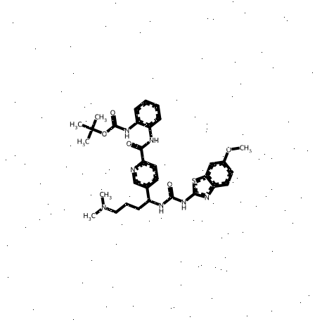 COc1ccc2nc(NC(=O)NC(CCCN(C)C)c3ccc(C(=O)Nc4ccccc4NC(=O)OC(C)(C)C)nc3)sc2c1